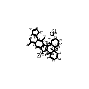 CC(C)=C1C=C2[CH]([Zr+2])C3(C)C4(C)C=CC=CC4(C)C4(C)C=CC=CC4(C)C3(C)C2(C)C(C)=C1C1=CC=CC1.[Cl-].[Cl-]